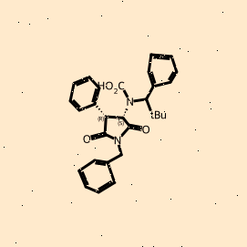 CC(C)(C)C(c1ccccc1)N(C(=O)O)[C@@H]1C(=O)N(Cc2ccccc2)C(=O)[C@@H]1c1ccccc1